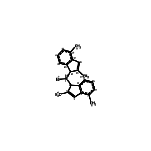 CC[SiH](C1C(C)=Cc2c(C)cccc21)C1C(C)=Cc2c(C)cccc21